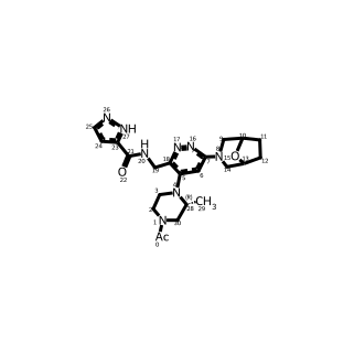 CC(=O)N1CCN(c2cc(N3CC4CCC(C3)O4)nnc2CNC(=O)c2ccn[nH]2)[C@H](C)C1